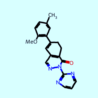 COc1ccc(C)cc1C1=Cc2cnn(-c3ncccn3)c(=O)c2CC1